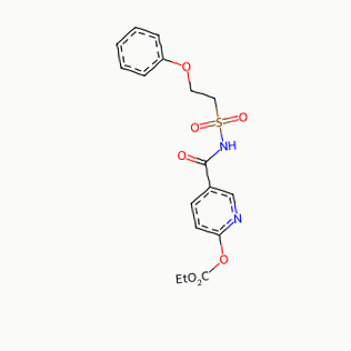 CCOC(=O)Oc1ccc(C(=O)NS(=O)(=O)CCOc2ccccc2)cn1